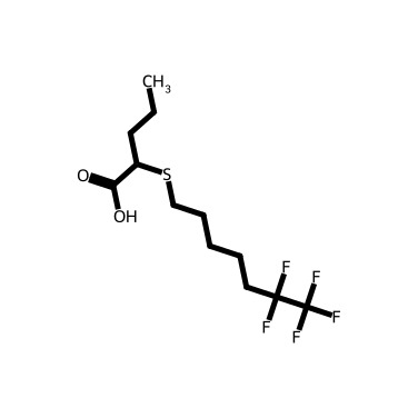 CCCC(SCCCCCC(F)(F)C(F)(F)F)C(=O)O